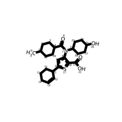 CC1CCC(C(=O)N(c2cc(C3C=CCCC3)sc2C(=O)O)C2CCC(O)CC2)CC1